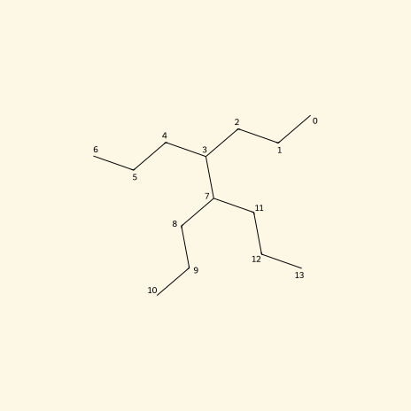 CCCC(CCC)C(CCC)CCC